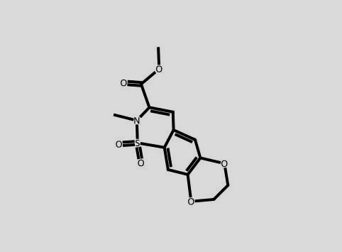 COC(=O)C1=Cc2cc3c(cc2S(=O)(=O)N1C)OCCO3